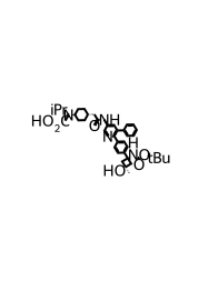 CC(C)N(C(=O)O)[C@H]1CC[C@H](CC(=O)Nc2cnc(-c3ccc([C@]4(NC(=O)OC(C)(C)C)C[C@](C)(O)C4)cc3)c(-c3ccccc3)c2)CC1